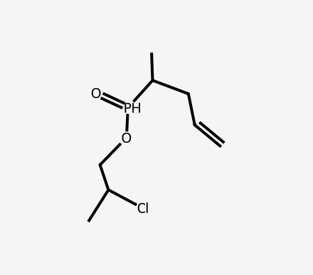 C=CCC(C)[PH](=O)OCC(C)Cl